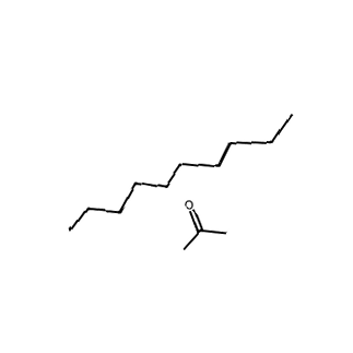 CC(C)=O.CCCCCCCCCC